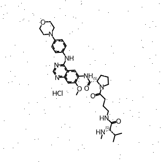 CN[C@H](C(=O)NCCCC(=O)N1CCC[C@H]1C(=O)Nc1cc2c(Nc3ccc(N4CCOCC4)cc3)ncnc2cc1OC)C(C)C.Cl